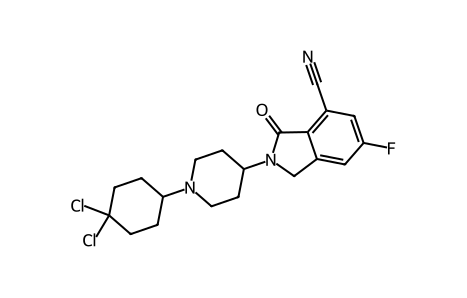 N#Cc1cc(F)cc2c1C(=O)N(C1CCN(C3CCC(Cl)(Cl)CC3)CC1)C2